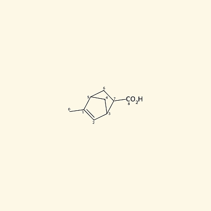 CC1=CC2CC1CC2C(=O)O